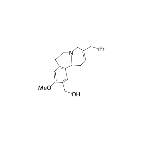 COc1cc2c(cc1CO)C1CC=C(CC(C)C)CN1CC2